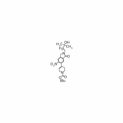 CC(C)(C)OC(=O)N1CC=C(c2cc3c(cc2[N+](=O)[O-])CN(C[C@@H](F)C(C)(C)O)C3=O)CC1